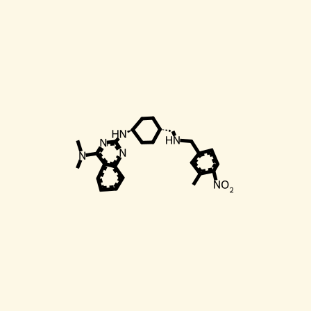 Cc1cc(CNC[C@H]2CC[C@@H](Nc3nc(N(C)C)c4ccccc4n3)CC2)ccc1[N+](=O)[O-]